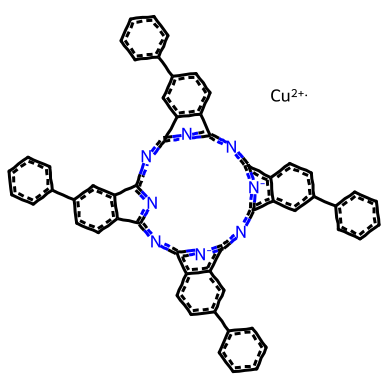 [Cu+2].c1ccc(-c2ccc3c(c2)-c2nc4nc(nc5[n-]c(nc6[n-]c(nc-3n2)c2ccc(-c3ccccc3)cc62)c2cc(-c3ccccc3)ccc52)-c2ccc(-c3ccccc3)cc2-4)cc1